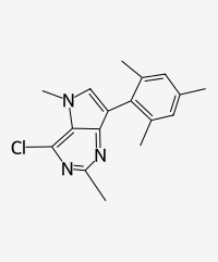 Cc1cc(C)c(-c2cn(C)c3c(Cl)nc(C)nc23)c(C)c1